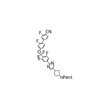 CCCCCC1CCC(c2cnc(-c3cc(F)c(C(F)(F)Oc4ccc(-c5ccc(C#N)c(F)c5)c(F)c4)c(F)c3)nc2)CC1